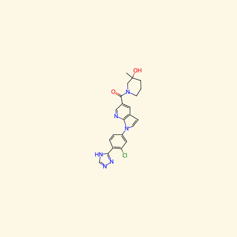 CC1(O)CCCN(C(=O)c2cnc3c(ccn3-c3ccc(-c4nnc[nH]4)c(Cl)c3)c2)C1